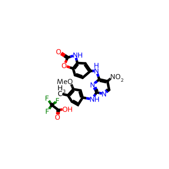 COc1cc(Nc2ncc([N+](=O)[O-])c(Nc3ccc4oc(=O)[nH]c4c3)n2)ccc1C.O=C(O)C(F)(F)F